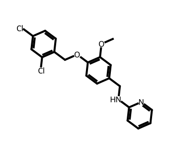 COc1cc(CNc2ccccn2)ccc1OCc1ccc(Cl)cc1Cl